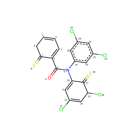 O=C(C1=CC=CCC1=S)N(C1=CC(Cl)=CC(Cl)C1=S)c1cc(Cl)cc(Cl)c1